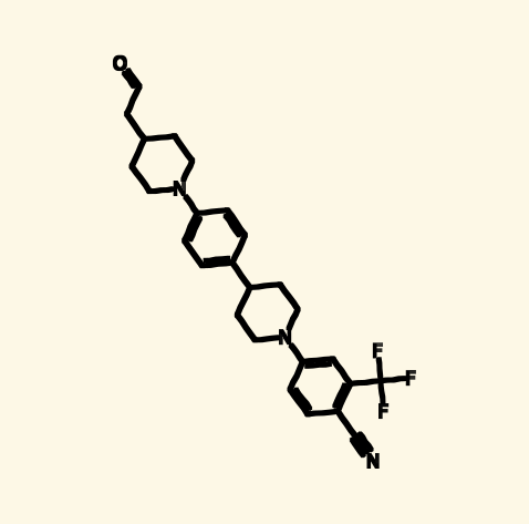 N#Cc1ccc(N2CCC(c3ccc(N4CCC(CC=O)CC4)cc3)CC2)cc1C(F)(F)F